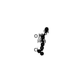 O=C(NS(=O)(=O)c1ccc(NCCSc2nc3ccccc3o2)c([N+](=O)[O-])c1)c1ccc(N2CCN(Cc3cc(Cl)ccc3-c3ccccc3)CC2)cc1